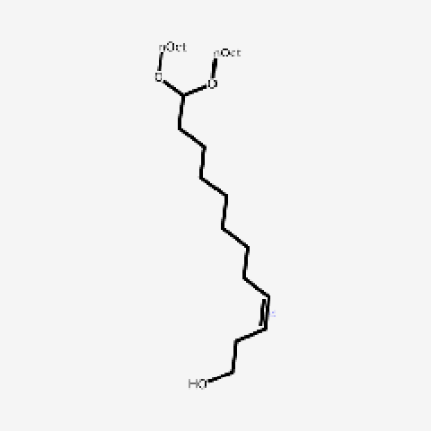 CCCCCCCCOC(CCCCCCC/C=C\CCO)OCCCCCCCC